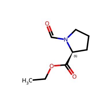 CCOC(=O)[C@@H]1CCCN1C=O